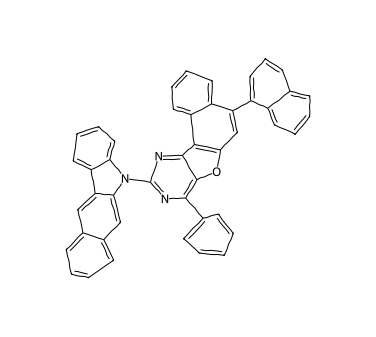 c1ccc(-c2nc(-n3c4ccccc4c4cc5ccccc5cc43)nc3c2oc2cc(-c4cccc5ccccc45)c4ccccc4c23)cc1